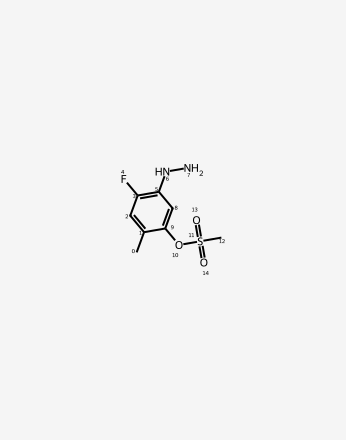 Cc1cc(F)c(NN)cc1OS(C)(=O)=O